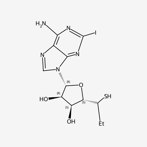 CCC(S)[C@H]1O[C@@H](n2cnc3c(N)nc(I)nc32)[C@H](O)[C@@H]1O